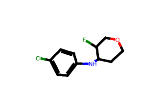 FC1[CH]OCCC1Nc1ccc(Cl)cc1